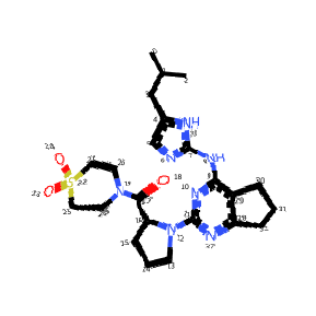 CC(C)Cc1cnc(Nc2nc(N3CCCC3C(=O)N3CCS(=O)(=O)CC3)nc3c2CCC3)[nH]1